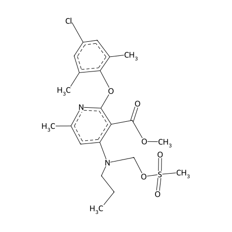 CCCN(COS(C)(=O)=O)c1cc(C)nc(Oc2c(C)cc(Cl)cc2C)c1C(=O)OC